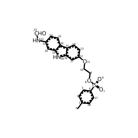 Cc1ccc(S(=O)(=O)OCCOc2ccc3c(c2)[nH]c2cc(NC=O)ccc23)cc1